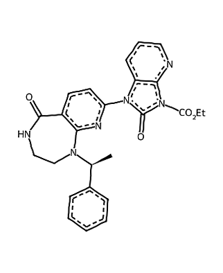 CCOC(=O)n1c(=O)n(-c2ccc3c(n2)N([C@@H](C)c2ccccc2)CCNC3=O)c2cccnc21